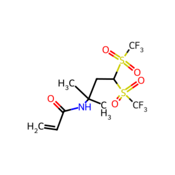 C=CC(=O)NC(C)(C)CC(S(=O)(=O)C(F)(F)F)S(=O)(=O)C(F)(F)F